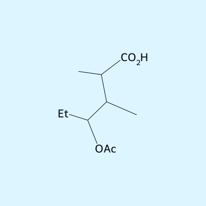 CCC(OC(C)=O)C(C)C(C)C(=O)O